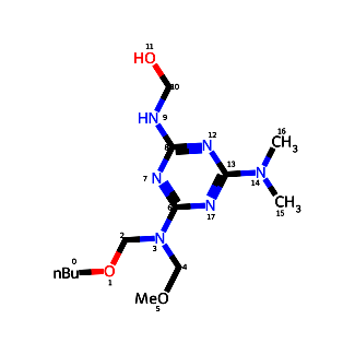 CCCCOCN(COC)c1nc(NCO)nc(N(C)C)n1